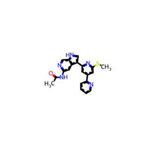 CSc1cc(-c2ccccn2)cc(-c2c[nH]c3cnc(NC(C)=O)cc23)n1